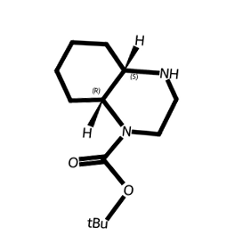 CC(C)(C)OC(=O)N1CCN[C@H]2CCCC[C@H]21